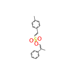 CC(=COS(=O)(=O)C=Cc1ccc(C)cc1)c1ccccc1